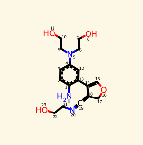 Nc1ccc(N(CCO)CCO)cc1C1=COCC1=C=NCCO